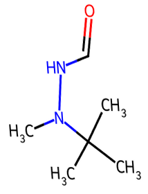 CN(NC=O)C(C)(C)C